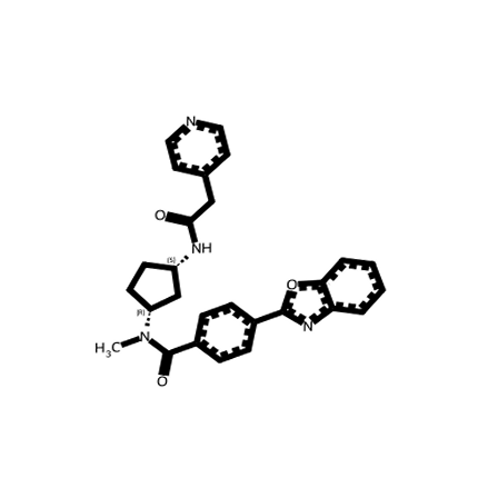 CN(C(=O)c1ccc(-c2nc3ccccc3o2)cc1)[C@@H]1CC[C@H](NC(=O)Cc2ccncc2)C1